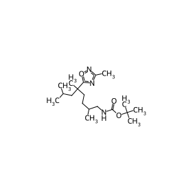 Cc1noc(C(C)(CCC(C)CNC(=O)OC(C)(C)C)CC(C)C)n1